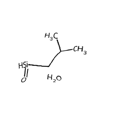 CC(C)C[SiH]=O.O